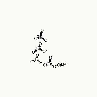 [Ba+2].[Ca+2].[O]=[Ta](=[O])[O-].[O]=[Ta](=[O])[O-].[O]=[Ta](=[O])[O-].[O]=[Ta](=[O])[O-]